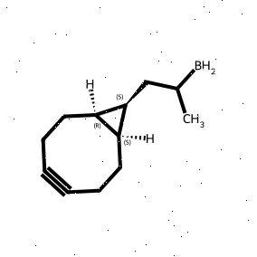 BC(C)C[C@@H]1[C@@H]2CCC#CCC[C@@H]21